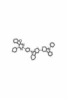 c1ccc(-c2nc(-c3ccc(-n4c5ccccc5c5cc(-c6ccc7c(c6)c6ccccc6n7-c6ccccc6)ccc54)cc3)nc3oc4ccccc4c23)cc1